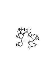 Cc1ccncc1-c1cc2c(-c3nc4c(-c5ccc(F)cc5)nccc4[nH]3)n[nH]c2cn1